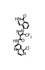 O=C(Nc1cnc2ccnc(Cl)c2c1)c1cnn(-c2cccc3c(=O)[nH]ccc23)c1C(F)(F)F